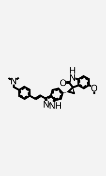 COc1ccc2c(c1)[C@@]1(C[C@@H]1c1ccc3c(C=Cc4ccc(CN(C)C)cc4)n[nH]c3c1)C(=O)N2